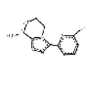 C[C@@H]1NCCn2c(-c3cccc(O)n3)nnc21